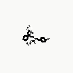 COC(=O)CC(O)(CCN(CCc1ccc(Br)cc1)C(=O)OC)c1ccccc1